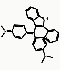 CN(C)c1ccc(C(=C2C=CC(=[N+](C)C)C=C2)c2c(-c3ccccc3)[nH]c3ccccc23)cc1